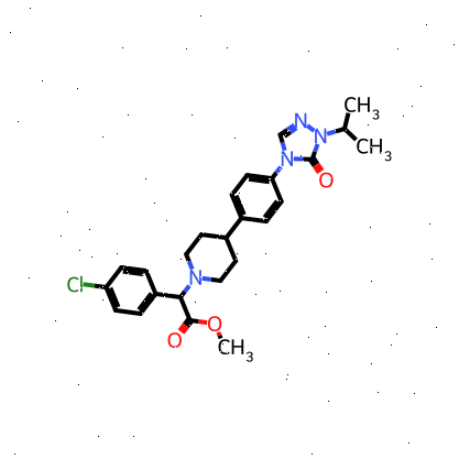 COC(=O)C(c1ccc(Cl)cc1)N1CCC(c2ccc(-n3cnn(C(C)C)c3=O)cc2)CC1